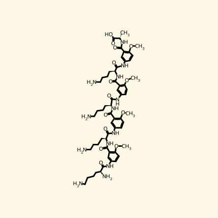 COc1ccc(NC(=O)[C@H](CCCCN)NC(=O)c2cc(NC(=O)[C@H](CCCCN)NC(=O)c3cc(NC(=O)[C@H](CCCCN)NC(=O)c4cc(NC(=O)[C@@H](N)CCCCN)ccc4OC)ccc3OC)ccc2OC)cc1C(=O)N[C@@H](C)C(=O)O